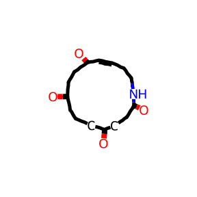 O=C1C=CCCNC(=O)CCC(=O)CCCC(=O)CC1